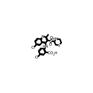 Cc1nc2ccc(Cl)cc2c(Nc2ccc(Cl)cc2C(=O)O)c1S(=O)(=O)C1CSCCN1